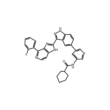 O=C(Nc1cncc(-c2ccc3[nH]nc(-c4nc5c(-c6ccccc6F)nccc5[nH]4)c3c2)c1)C1CCCCC1